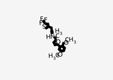 COCc1ccc(OC)cc1-c1ccc(C(C)NC#CCc2csc(C(F)(F)F)c2)o1